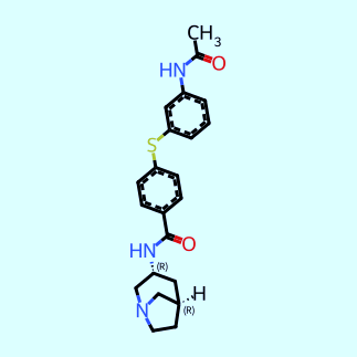 CC(=O)Nc1cccc(Sc2ccc(C(=O)N[C@@H]3C[C@H]4CCN(C4)C3)cc2)c1